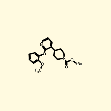 CC(C)(C)OC(=O)N1CCC(c2cccnc2Oc2ccccc2OC(F)(F)F)CC1